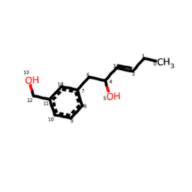 CC/C=C/C(O)Cc1cccc(CO)c1